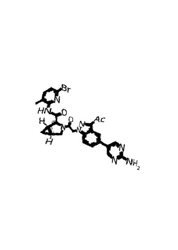 CC(=O)c1nn(CC(=O)N2C[C@H]3C[C@H]3[C@H]2C(=O)Nc2nc(Br)ccc2C)c2ccc(-c3cnc(N)nc3)cc12